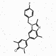 Cc1cc(-c2cc(C)c3nc(C)n(Cc4ccc(F)cc4)c3c2)cn(C)c1=O